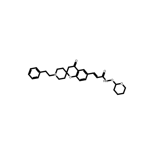 O=C(C=Cc1ccc2c(c1)C(=O)CC1(CCN(CCc3ccccc3)CC1)O2)NOC1CCCCO1